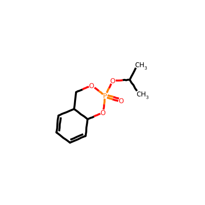 CC(C)OP1(=O)OCC2C=CC=CC2O1